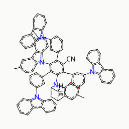 Cc1ccc2c(c1)C1CC([C@@H]1C)N2c1c(-c2cccc(-n3c4ccccc4c4ccccc43)c2)c(C#N)c(-c2cccc(-n3c4ccccc4c4ccccc43)c2)c(-n2c3ccc(C)cc3c3cc(C)ccc32)c1-c1cccc(-n2c3ccccc3c3ccccc32)c1